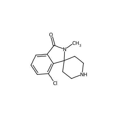 CN1C(=O)c2cccc(Cl)c2C12CCNCC2